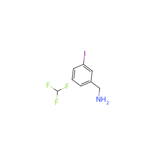 FC(F)F.NCc1cccc(I)c1